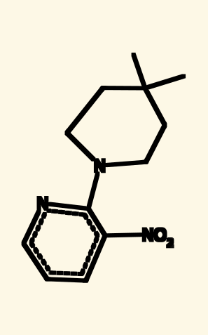 CC1(C)CCN(c2ncccc2[N+](=O)[O-])CC1